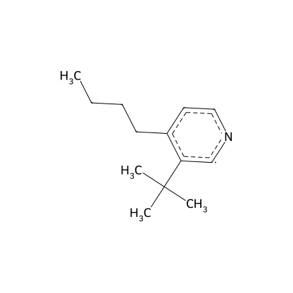 CCCCc1ccn[c]c1C(C)(C)C